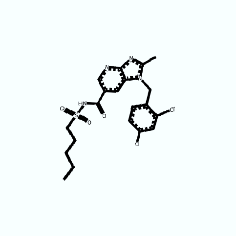 CCCCCS(=O)(=O)NC(=O)c1cnc2nc(C)n(Cc3ccc(Cl)cc3Cl)c2c1